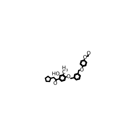 Cc1c(OCc2cccc(COc3ccc(OC=O)cc3)c2)ccc(C(=O)CC2CCCC2)c1O